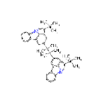 CC(C)(c1cc2c([Si](C)(C)C)cn3c4ccccc4c(c1)c23)C(C)(C)c1cc2c([Si](C)(C)C)cn3c4ccccc4c(c1)c23